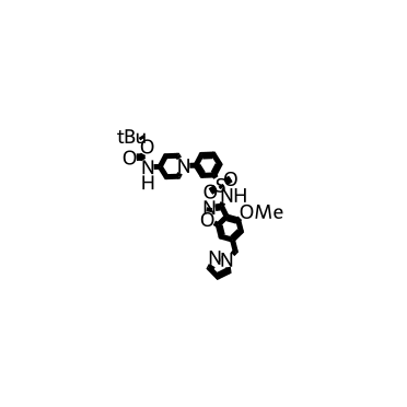 COc1cc(Cn2cccn2)cc2onc(NS(=O)(=O)c3cccc(N4CCC(NC(=O)OC(C)(C)C)CC4)c3)c12